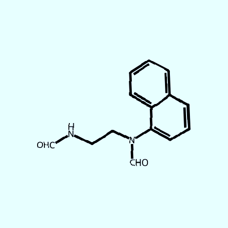 O=CNCCN(C=O)c1cccc2ccccc12